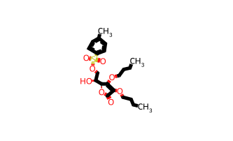 CCCCOC1=C(OCCCC)[C@@H]([C@@H](O)COS(=O)(=O)c2ccc(C)cc2)OC1=O